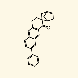 O=C1c2cc3cc(-c4ccccc4)ccc3cc2CCC12CC1=CCC2C1